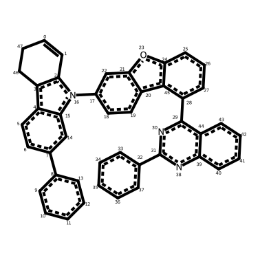 C1=Cc2c(c3ccc(-c4ccccc4)cc3n2-c2ccc3c(c2)oc2cccc(-c4nc(-c5ccccc5)nc5ccccc45)c23)CC1